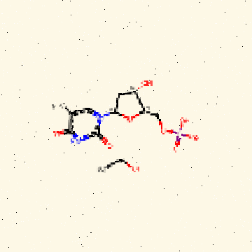 CCC(C)CO.Cc1cn([C@H]2C[C@H](O)[C@@H](COP(=O)(O)O)O2)c(=O)[nH]c1=O